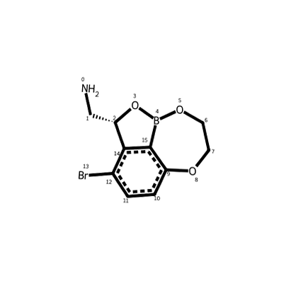 NC[C@@H]1OB2OCCOc3ccc(Br)c1c32